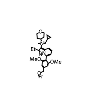 CCc1nn2c(-c3c(OC)cc(COC(C)C)cc3OC)cccc2c1[N+](C)(CC1CC1)C1CCOCC1